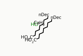 CCCCCCCCCCCCCCCCCC(=O)O.CCCCCCCCCCCCCCCCCC(=O)O.Cl.[CaH2]